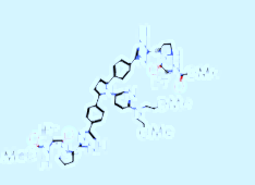 COCCN(CCOC)c1ccc(-n2c(-c3ccc(-c4c[nH]c([C@@H]5CCCN5C(=O)[C@@H](NC(=O)OC)C(C)C)n4)cc3)ccc2-c2ccc(-c3c[nH]c([C@@H]4CCCN4C(=O)[C@@H](NC(=O)OC)C(C)C)n3)cc2)cn1